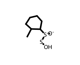 CC1CCCCC1[S+]([O-])SO